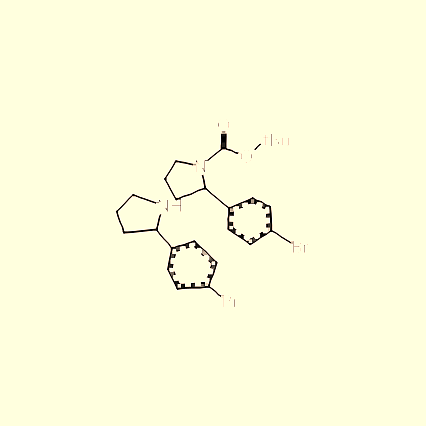 Brc1ccc(C2CCCN2)cc1.CC(C)(C)OC(=O)N1CCCC1c1ccc(Br)cc1